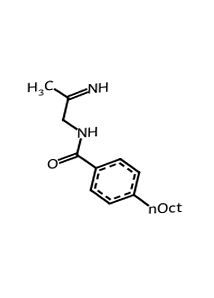 CCCCCCCCc1ccc(C(=O)NCC(C)=N)cc1